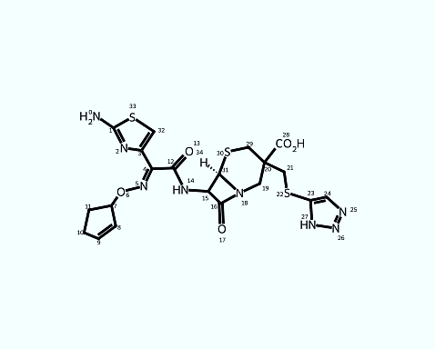 Nc1nc(C(=NOC2C=CCC2)C(=O)NC2C(=O)N3CC(CSc4cnn[nH]4)(C(=O)O)CS[C@H]23)cs1